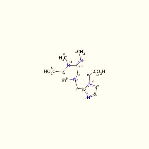 C/N=C(/CN(Cc1nccn1CC(=O)O)C(C)C)N(C)CC(=O)O